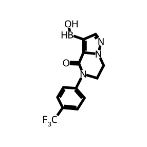 O=C1c2c(BO)cnn2CCN1c1ccc(C(F)(F)F)cc1